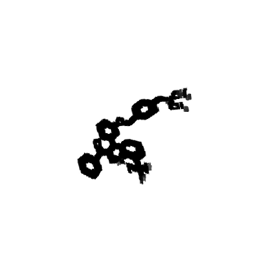 CN(C)Cc1ccc(COc2cccc(-c3c(C(=O)c4ccccc4)cnc4c(C(F)(F)F)cccc34)c2)cc1